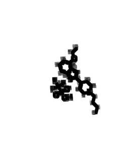 CCCCN1CC=C(c2cc3c(OCC)cccc3s2)CC1.O=S(=O)(O)C(F)(F)F